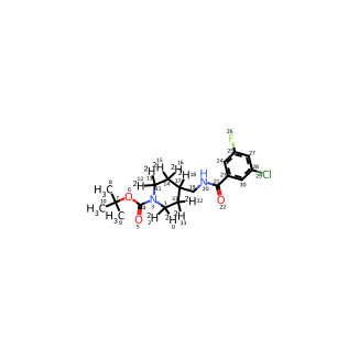 [2H]C1([2H])N(C(=O)OC(C)(C)C)C([2H])([2H])C([2H])([2H])C([2H])(CNC(=O)c2cc(F)cc(Cl)c2)C1([2H])[2H]